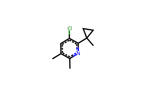 Cc1cc(Cl)c(C2(C)CC2)nc1C